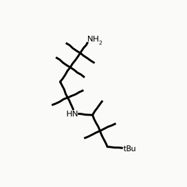 CC(NC(C)(C)CC(C)(C)C(C)(C)N)C(C)(C)CC(C)(C)C